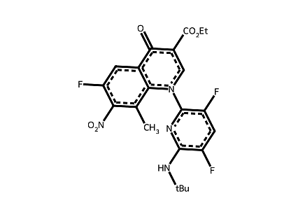 CCOC(=O)c1cn(-c2nc(NC(C)(C)C)c(F)cc2F)c2c(C)c([N+](=O)[O-])c(F)cc2c1=O